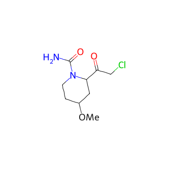 COC1CCN(C(N)=O)C(C(=O)CCl)C1